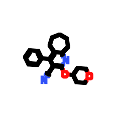 N#Cc1c(OC2CCOCC2)nc2c(c1-c1ccccc1)CCCCC2